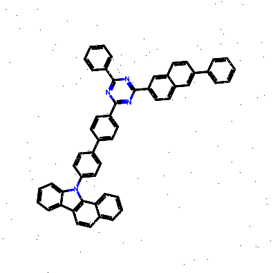 c1ccc(-c2ccc3cc(-c4nc(-c5ccccc5)nc(-c5ccc(-c6ccc(-n7c8ccccc8c8ccc9ccccc9c87)cc6)cc5)n4)ccc3c2)cc1